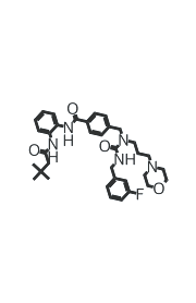 CC(C)(C)CC(=O)Nc1ccccc1NC(=O)c1ccc(CN(CCCN2CCOCC2)C(=O)NCc2cccc(F)c2)cc1